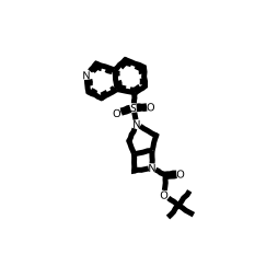 CC(C)(C)OC(=O)N1CC2CN(S(=O)(=O)c3cccc4cnccc34)CC21